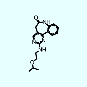 CC(C)OCCNc1ncc2c(n1)-c1ccccc1NC(=O)C2